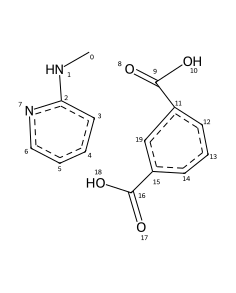 CNc1ccccn1.O=C(O)c1cccc(C(=O)O)c1